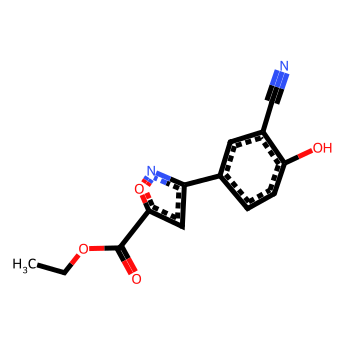 CCOC(=O)c1cc(-c2ccc(O)c(C#N)c2)no1